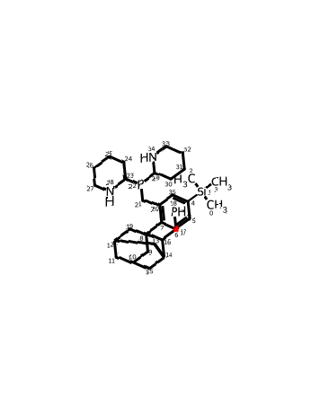 C[Si](C)(C)c1ccc(C23CC4CC(CC(C4)C2CP)C3)c(CP(C2CCCCN2)C2CCCCN2)c1